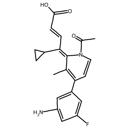 CC(=O)N1C=CC(c2cc(N)cc(F)c2)=C(C)/C1=C(/C=C/C(=O)O)C1CC1